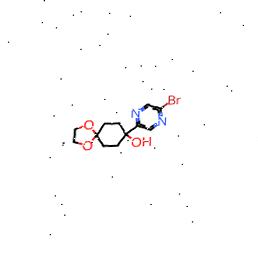 OC1(c2cnc(Br)cn2)CCC2(CC1)OCCO2